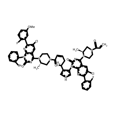 C=CC(=O)N1CCN(c2nc(=O)n(-c3c[nH]cc3C(C)C/C=C\C(=O)N3CCN(c4nc(=O)n(-c5ccccc5C(C)C)c5nc(-c6cc(OC)ccc6F)c(Cl)cc45)[C@@H](C)C3)c3nc(-c4ccccc4F)c(Cl)cc23)[C@@H](C)C1